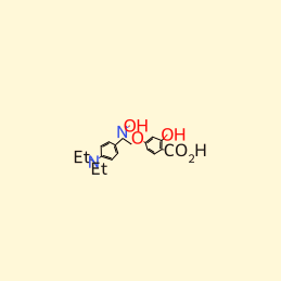 CCN(CC)c1ccc(C(COc2ccc(C(=O)O)c(O)c2)=NO)cc1